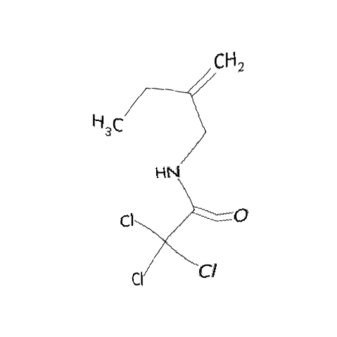 C=C(CC)CNC(=O)C(Cl)(Cl)Cl